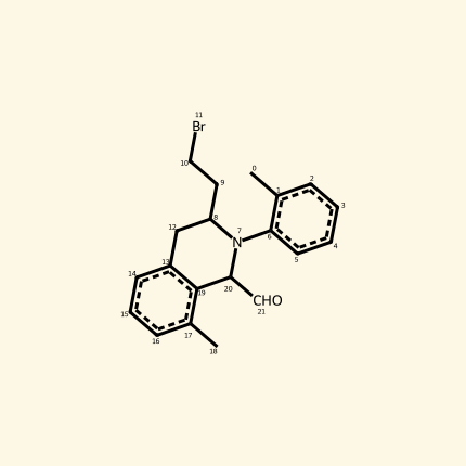 Cc1ccccc1N1C(CCBr)Cc2cccc(C)c2C1C=O